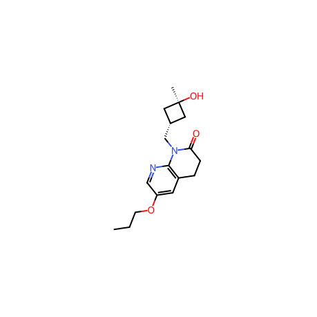 CCCOc1cnc2c(c1)CCC(=O)N2C[C@H]1C[C@](C)(O)C1